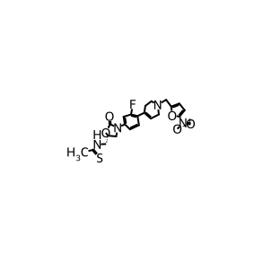 CC(=S)NC[C@H]1CN(c2ccc(C3=CCN(Cc4ccc([N+](=O)[O-])o4)CC3)c(F)c2)C(=O)O1